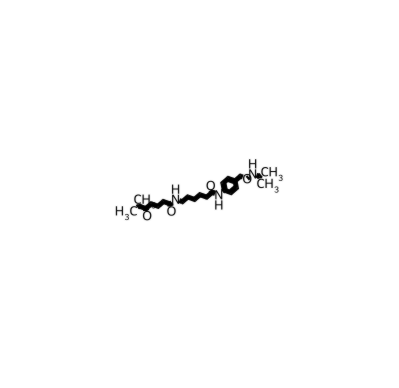 CC(C)NOCc1ccc(NC(=O)CCCCCNC(=O)CCCC(=O)C(C)C)cc1